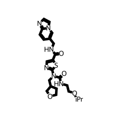 CC(C)OCCNC(=O)N(CC1CCOC1)c1ncc(C(=O)NCc2ccc3nccn3c2)s1